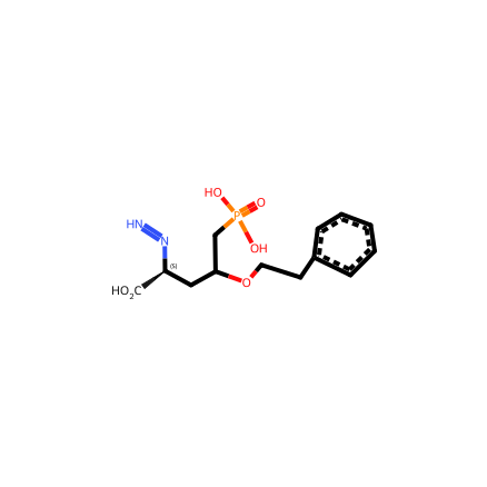 N=N[C@@H](CC(CP(=O)(O)O)OCCc1ccccc1)C(=O)O